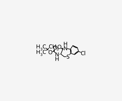 CC(C)(C)OC(=O)N[C@H]1CSc2cc(Cl)ccc2NC1=O